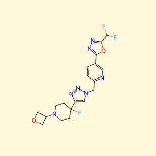 FC(F)c1nnc(-c2ccc(Cn3cc(C4(F)CCN(C5COC5)CC4)nn3)nc2)o1